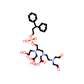 O=CCN(CC=O)CCN(CC(=O)O)CC(COP(=O)(O)OCCC(c1ccccc1)c1ccccc1)N(CC(=O)O)CC(=O)O